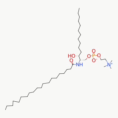 CCCCCCCCCCCCCCCCCCCC(=O)N[C@@H](COP(=O)([O-])OCC[N+](C)(C)C)[C@H](O)CCCCCCCCCCC